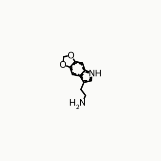 NCCc1c[nH]c2cc3c(cc12)OCO3